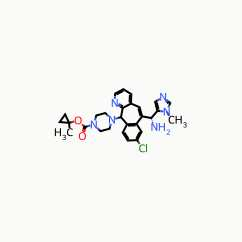 Cn1cncc1[C@H](N)C1=Cc2cccnc2C(N2CCN(C(=O)OC3(C)CC3)CC2)c2ccc(Cl)cc21